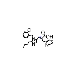 CCCCc1ncc(/C=C(\Cc2cscn2)C(=O)O)n1Cc1ccccc1Cl